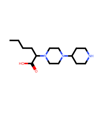 CCCCC(C(=O)O)N1CCN(C2CCNCC2)CC1